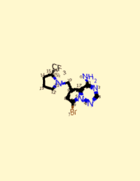 Nc1ncnn2c(Br)cc(CN3CCC[C@H]3C(F)(F)F)c12